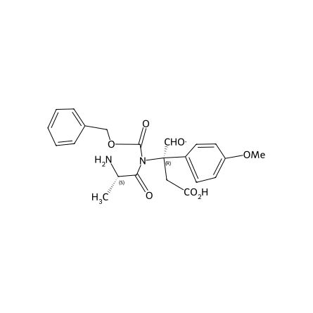 COc1ccc([C@@]([C]=O)(CC(=O)O)N(C(=O)OCc2ccccc2)C(=O)[C@H](C)N)cc1